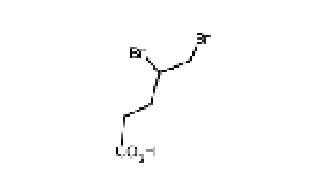 O=C(O)CCC(Br)CBr